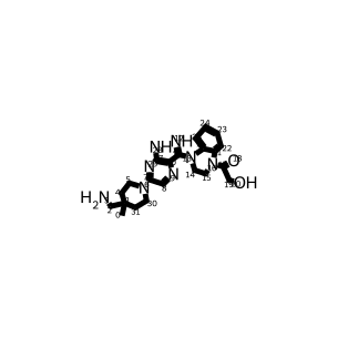 CC1(CN)CCN(c2cnc(C(=N)N3CCN(C(=O)CO)c4ccccc43)c(N)n2)CC1